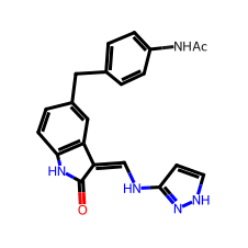 CC(=O)Nc1ccc(Cc2ccc3c(c2)/C(=C/Nc2cc[nH]n2)C(=O)N3)cc1